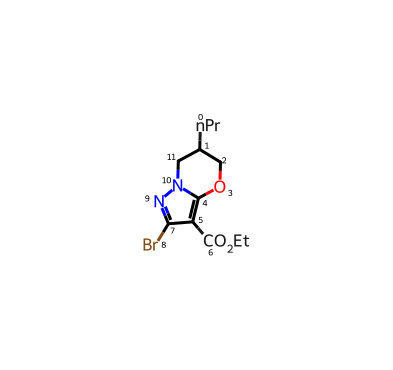 CCCC1COc2c(C(=O)OCC)c(Br)nn2C1